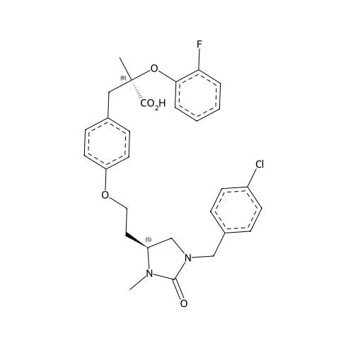 CN1C(=O)N(Cc2ccc(Cl)cc2)C[C@@H]1CCOc1ccc(C[C@@](C)(Oc2ccccc2F)C(=O)O)cc1